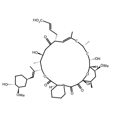 CO[C@H]1C[C@@H](C)[C@@]2(O)O[C@@H]1[C@@H](O)C[C@@H](C)C/C(C)=C/[C@@H](C/C=C/C(=O)O)C(=O)C[C@H](O)[C@@H](C)[C@@H](/C(C)=C/[C@@H]1CC[C@@H](O)[C@H](OC)C1)OC(=O)[C@@H]1CCCCN1C(=O)C2=O